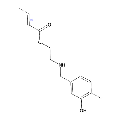 C/C=C/C(=O)OCCNCc1ccc(C)c(O)c1